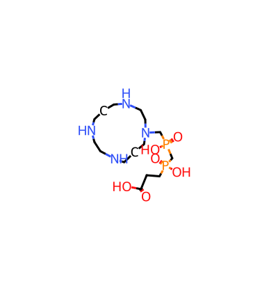 O=C(O)CCP(=O)(O)CP(=O)(O)CN1CCCNCCNCCCNCC1